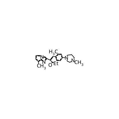 CCC(=O)/C(=C\c1ccc(N2CCCN(C)CC2)cc1C)c1cn2cccc(C)c2n1